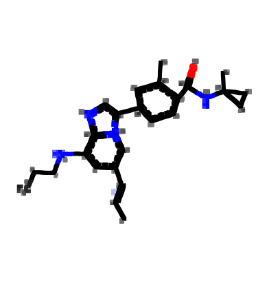 C/C=C/c1cc(NCCC(F)(F)F)c2ncc(-c3ccc(C(=O)NC4(C)CC4)c(C)c3)n2c1